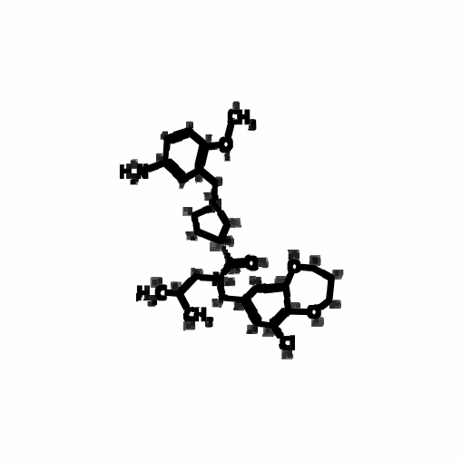 COc1ccc(N)cc1CN1CC[C@@H](C(=O)N(Cc2cc(Cl)c3c(c2)OCCCO3)CC(C)C)C1